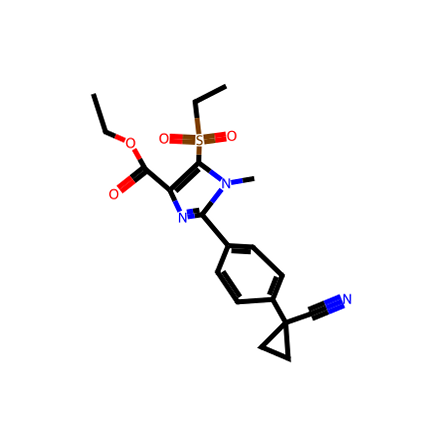 CCOC(=O)c1nc(-c2ccc(C3(C#N)CC3)cc2)n(C)c1S(=O)(=O)CC